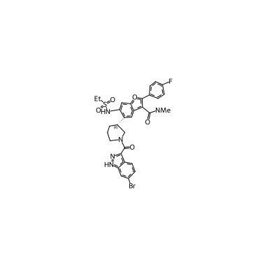 CCS(=O)(=O)Nc1cc2oc(-c3ccc(F)cc3)c(C(=O)NC)c2cc1[C@H]1CCCN(C(=O)c2n[nH]c3cc(Br)ccc23)C1